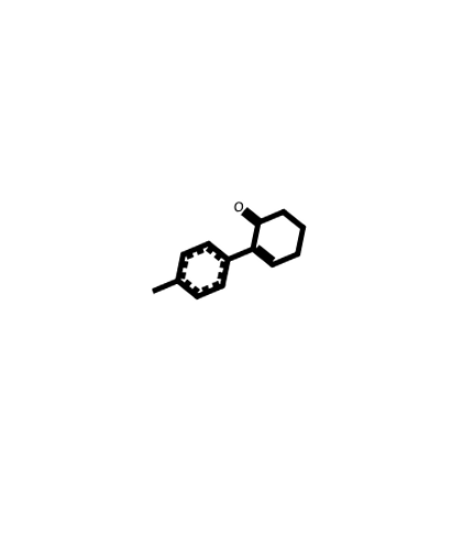 Cc1ccc(C2=CCCCC2=O)cc1